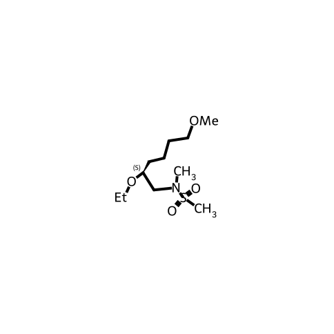 CCO[C@@H](CCCCOC)CN(C)S(C)(=O)=O